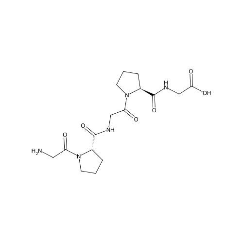 NCC(=O)N1CCC[C@H]1C(=O)NCC(=O)N1CCC[C@H]1C(=O)NCC(=O)O